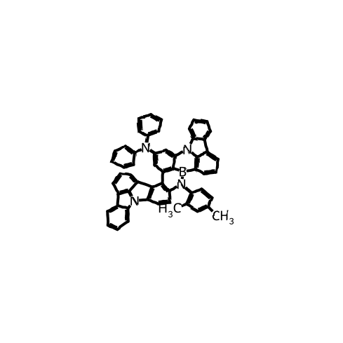 Cc1ccc(N2B3c4c(cc(N(c5ccccc5)c5ccccc5)cc4-n4c5ccccc5c5cccc3c54)-c3c2ccc2c3c3cccc4c5ccccc5n2c43)c(C)c1